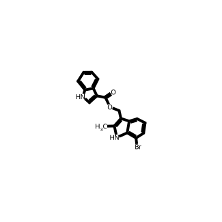 Cc1[nH]c2c(Br)cccc2c1COC(=O)c1c[nH]c2ccccc12